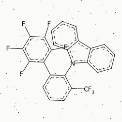 Fc1c(F)c(F)c(-c2cccc(C(F)(F)F)c2-n2c3ccccc3c3ccccc32)c(F)c1F